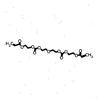 C=CC(=O)OCCOC(=O)OCCOCCOC(=O)OCCOC(=O)C=C